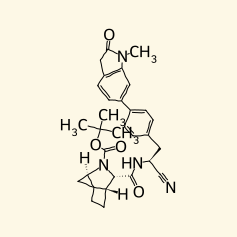 CN1C(=O)Cc2ccc(-c3ccc(C[C@@H](C#N)NC(=O)[C@@H]4[C@@H]5CCC56C[C@H]6N4C(=O)OC(C)(C)C)cc3)cc21